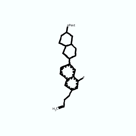 C=CCCc1cc(F)c2cc(C3CCC4CC(CCCCC)CCC4C3)ccc2c1